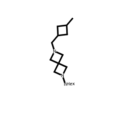 CCCCCCN1CC2(C1)CN(CC1CC(C)C1)C2